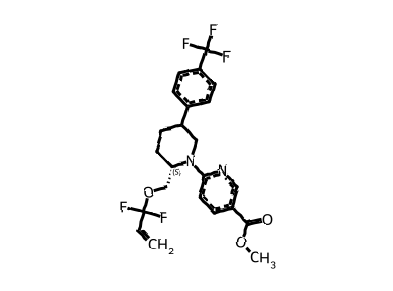 C=CC(F)(F)OC[C@@H]1CCC(c2ccc(C(F)(F)F)cc2)CN1c1ccc(C(=O)OC)cn1